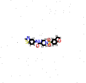 O=C(Nc1ccc2scnc2c1)C1CCN(S(=O)(=O)c2ccc3c(c2)CCO3)CC1